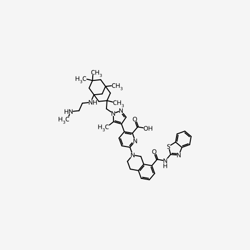 CNCCNC12CC(C)(C)CC(C)(CC(C)(Cn3ncc(-c4ccc(N5CCc6cccc(C(=O)Nc7nc8ccccc8s7)c6C5)nc4C(=O)O)c3C)C1)C2